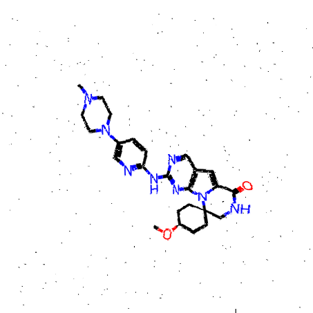 CO[C@H]1CC[C@]2(CC1)CNC(=O)c1cc3cnc(Nc4ccc(N5CCN(C)CC5)cn4)nc3n12